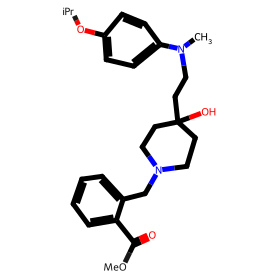 COC(=O)c1ccccc1CN1CCC(O)(CCN(C)c2ccc(OC(C)C)cc2)CC1